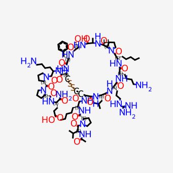 CCCCC[C@H](NC(=O)[C@@H]1CCCN1C(=O)[C@@H](NC(C)=O)C(C)C)C(=O)NC1CCSSC[C@@H](C(=O)NC(CCCCN)C(=O)N2CCC[C@H]2C(=O)N2CCC[C@H]2C(=O)N[C@@H](CCC(=O)O)C(N)=O)NC(=O)[C@H](Cc2ccccc2)NC(=O)[C@H](CO)NC(=O)C(C)NC(=O)[C@@H]2CCCN2C(=O)[C@H](CCCCC)NC(=O)[C@H](CCCCN)NC(=O)[C@H](CCCNC(=N)N)NC(=O)[C@H](CC(C)C)NC1=O